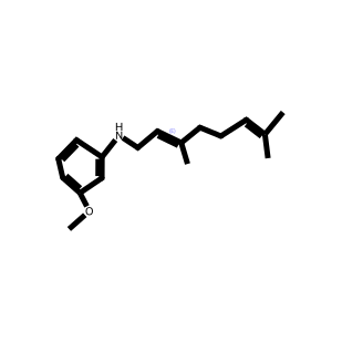 COc1cccc(NC/C=C(\C)CCC=C(C)C)c1